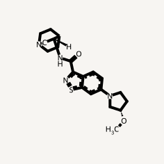 CO[C@H]1CCN(c2ccc3c(C(=O)N[C@@H]4CN5CCC4CC5)nsc3c2)C1